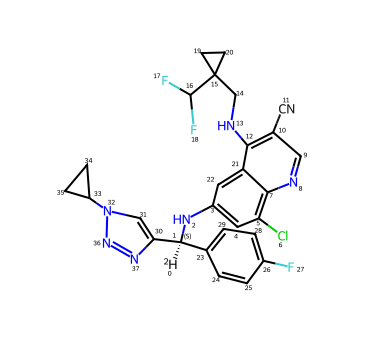 [2H][C@](Nc1cc(Cl)c2ncc(C#N)c(NCC3(C(F)F)CC3)c2c1)(c1ccc(F)cc1)c1cn(C2CC2)nn1